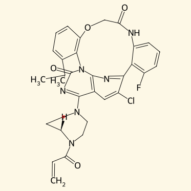 C=CC(=O)N1CCN(c2nc(=O)n3c4nc(c(Cl)cc24)-c2c(F)cccc2NC(=O)COc2cccc(C(C)C)c2-3)C2C[C@H]21